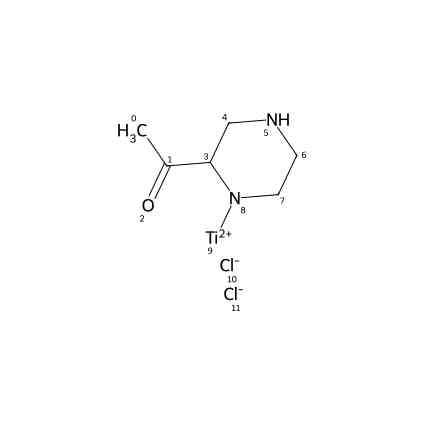 CC(=O)C1CNCC[N]1[Ti+2].[Cl-].[Cl-]